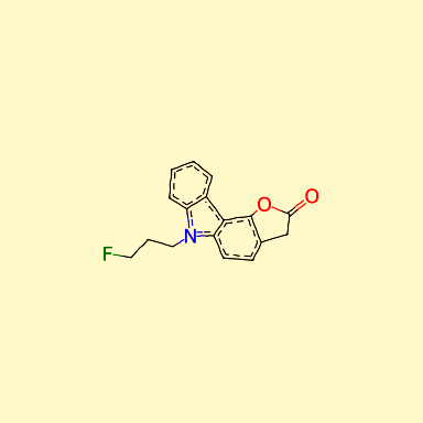 O=C1Cc2ccc3c(c2O1)c1ccccc1n3CCCF